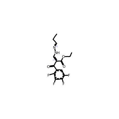 CC/C=N/N/C=C(\C(=O)OCC)C(=O)c1cc(F)c(F)c(F)c1F